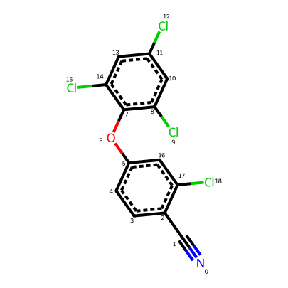 N#Cc1ccc(Oc2c(Cl)cc(Cl)cc2Cl)cc1Cl